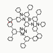 c1ccc(-c2cc(-c3ccccc3)cc(-c3nc(-c4cc(-c5ccccc5)cc(-c5ccccc5)c4)nc(-c4cc5c6c(c4)N4c7ccc(-c8ccccc8)cc7N(c7ccccc7)c7cc(-c8ccccc8)cc(c74)B6c4cc(-c6ccccc6)cc6c4N5c4ccc(-c5ccccc5)cc4N6c4ccccc4)n3)c2)cc1